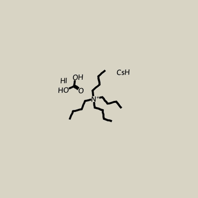 CCCC[N+](CCCC)(CCCC)CCCC.I.O=C(O)O.[CsH]